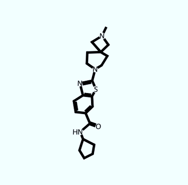 CN1CC2(CCN(c3nc4ccc(C(=O)NC5CCCC5)cc4s3)CC2)C1